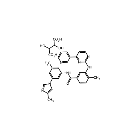 Cc1cn(-c2cc(NC(=O)c3ccc(C)c(Nc4nccc(-c5cccnc5)n4)c3)cc(C(F)(F)F)c2)cn1.O=C(O)C(O)C(O)C(=O)O